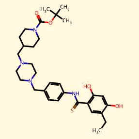 CCc1cc(C(=S)Nc2ccc(CN3CCN(CC4CCN(C(=O)OC(C)(C)C)CC4)CC3)cc2)c(O)cc1O